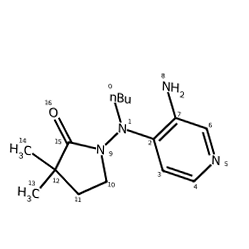 CCCCN(c1ccncc1N)N1CCC(C)(C)C1=O